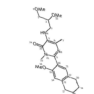 COCC(CNc1c(C)nc(-c2cc3c(cc2OC)CCCC3)n(C)c1=O)OC